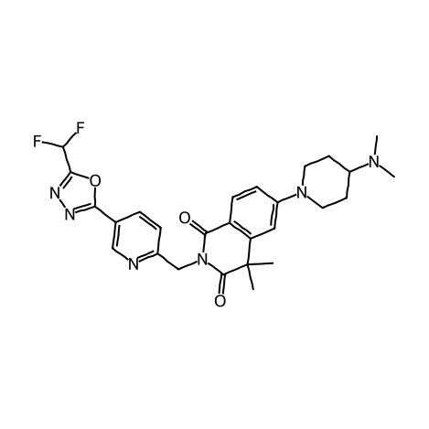 CN(C)C1CCN(c2ccc3c(c2)C(C)(C)C(=O)N(Cc2ccc(-c4nnc(C(F)F)o4)cn2)C3=O)CC1